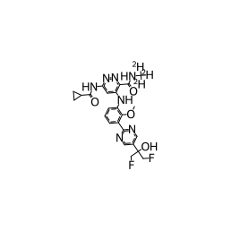 [2H]C([2H])([2H])NC(=O)c1nnc(NC(=O)C2CC2)cc1Nc1cccc(-c2ncc(C(O)(CF)CF)cn2)c1OC